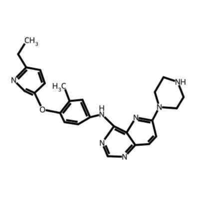 CCc1ccc(Oc2ccc(Nc3ncnc4ccc(N5CCNCC5)nc34)cc2C)cn1